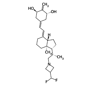 C=C1[C@H](O)CC(=C/C=C2\CCC[C@]3(C)[C@@H]([C@H](C)CN4CC(C(F)F)C4)CC[C@@H]23)C[C@H]1O